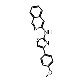 COc1ccc(-c2csc(Nc3cc4ccccc4cn3)n2)cc1